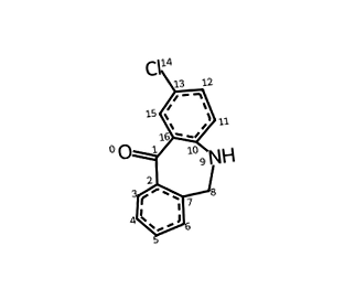 O=C1c2ccccc2CNc2ccc(Cl)cc21